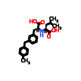 Cc1ccc(Cc2cccc(C[C@H](N[C@@H](CC(C)C)C(=O)O)C(=O)O)c2)cc1